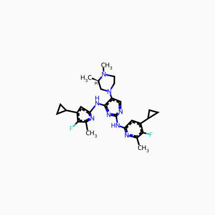 Cc1nc(Nc2ncc(N3CCN(C)[C@H](C)C3)c(Nc3cc(C4CC4)c(F)c(C)n3)n2)cc(C2CC2)c1F